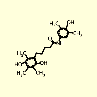 Cc1cc(NC(=O)CCCCc2c(C)c(O)c(C)c(C)c2O)cc(C)c1O